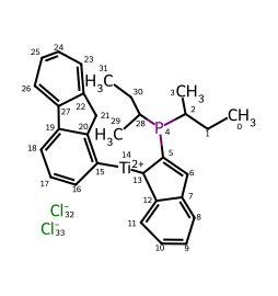 CCC(C)P(C1=Cc2ccccc2[CH]1[Ti+2][c]1cccc2c1Cc1ccccc1-2)C(C)CC.[Cl-].[Cl-]